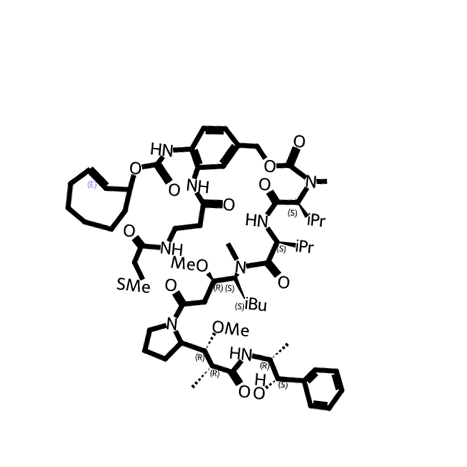 CC[C@H](C)[C@@H]([C@@H](CC(=O)N1CCCC1[C@H](OC)[C@@H](C)C(=O)N[C@H](C)[C@@H](O)c1ccccc1)OC)N(C)C(=O)[C@@H](NC(=O)[C@H](C(C)C)N(C)C(=O)OCc1ccc(NC(=O)OC2/C=C/CCCCC2)c(NC(=O)CCNC(=O)CSC)c1)C(C)C